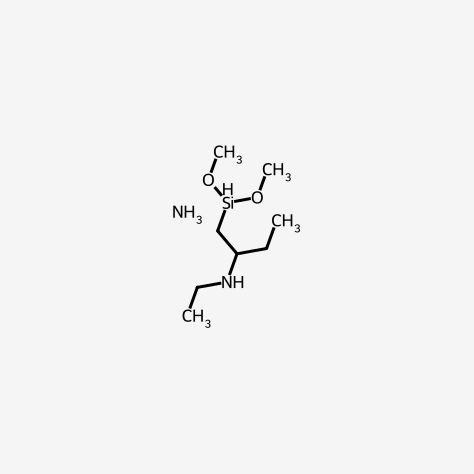 CCNC(CC)C[SiH](OC)OC.N